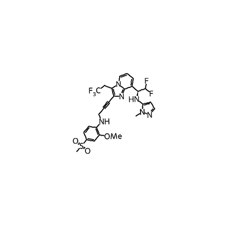 COc1cc(S(C)(=O)=O)ccc1NCC#Cc1nc2c([C@H](Nc3ccnn3C)C(F)F)cccn2c1CC(F)(F)F